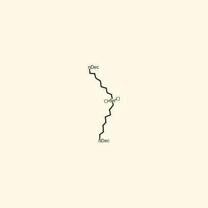 CCCCCCCCCCCCCCCCC[CH2][Sn]([Cl])([Cl])[CH2]CCCCCCCCCCCCCCCCC